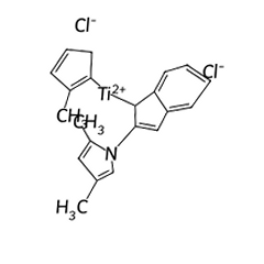 CC1=[C]([Ti+2][CH]2C(n3cc(C)cc3C)=Cc3ccccc32)CC=C1.[Cl-].[Cl-]